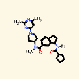 CCN(C(=O)C1CCCC1)[C@@H]1CCc2ccc(C(=O)N(C)C3CCN(c4cc(C)nc(C)n4)CC3)cc21